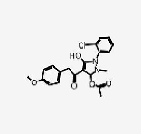 COc1ccc(CC(=O)C2=C(O)N(c3ccccc3Cl)N(C)C2OC(C)=O)cc1